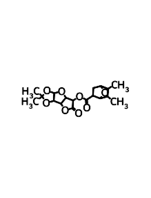 CC1C2CC(C(=O)OC3C(=O)OC4C5OC(C)(C)OC5OC34)C(O2)C1C